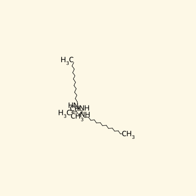 CCCCCCCCCCCCCCNCC(C(=N)NCCCCCCCCCCCCCC)C(C)(C)C